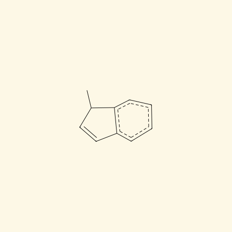 CC1C=Cc2ccccc21